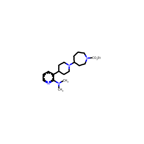 CCOC(=O)N1CCCC(N2CCC(c3cccnc3N(C)C)CC2)CC1